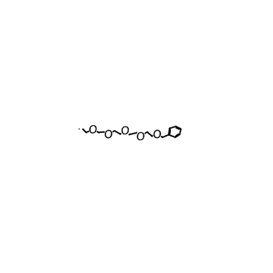 [CH2]COCCOCCOCCOCCOCc1ccccc1